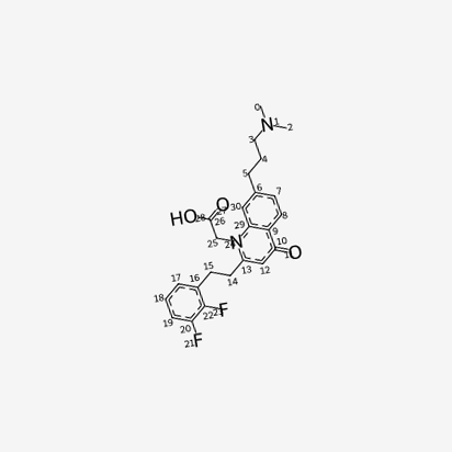 CN(C)CCCc1ccc2c(=O)cc(CCc3cccc(F)c3F)n(CC(=O)O)c2c1